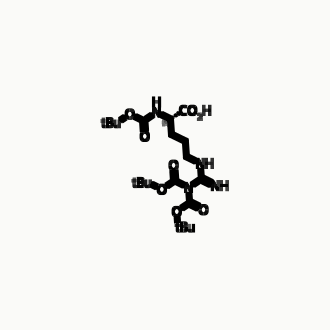 CC(C)(C)OC(=O)N[C@@H](CCCNC(=N)N(C(=O)OC(C)(C)C)C(=O)OC(C)(C)C)C(=O)O